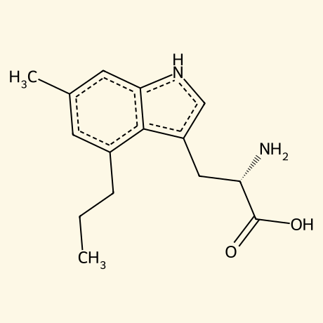 CCCc1cc(C)cc2[nH]cc(C[C@H](N)C(=O)O)c12